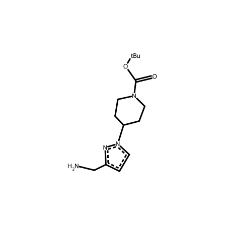 CC(C)(C)OC(=O)N1CCC(n2ccc(CN)n2)CC1